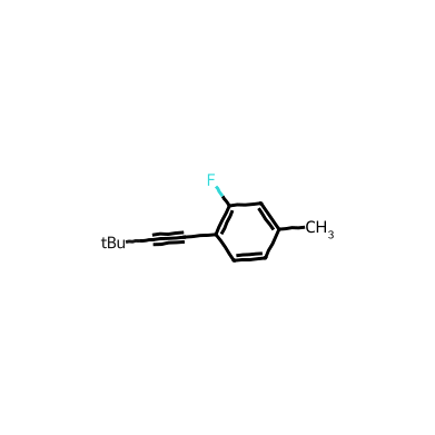 Cc1ccc(C#CC(C)(C)C)c(F)c1